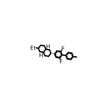 CCC1CC[C@@H]2C[C@H](c3cc(F)c(-c4ccc(C)cc4)c(F)c3)CC[C@@H]2C1